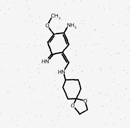 COC1=CC(=N)/C(=C\NC2CCC3(CC2)OCCO3)C=C1N